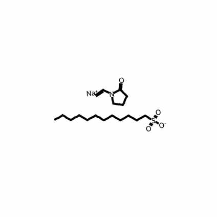 C=CN1CCCC1=O.CCCCCCCCCCCCS(=O)(=O)[O-].[Na+]